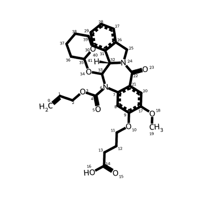 C=CCOC(=O)N1c2cc(OCCCC(=O)O)c(OC)cc2C(=O)N2Cc3ccccc3[C@H]2C1OC1CCCCO1